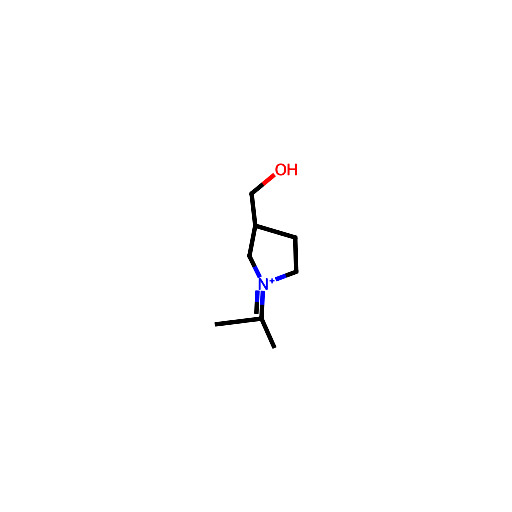 CC(C)=[N+]1CCC(CO)C1